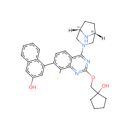 Oc1cc(-c2ccc3c(N4C[C@H]5CC[C@@H](C4)N5)nc(OCC4(O)CCCC4)nc3c2F)c2ccccc2c1